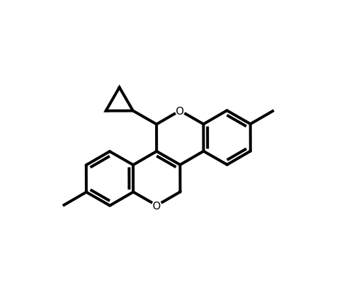 Cc1ccc2c(c1)OC(C1CC1)C1=C2COc2cc(C)ccc21